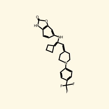 O=c1[nH]c2ccc(NC(C=C3CCN(c4ccc(C(F)(F)F)cc4)CC3)=C3CCC3)cc2o1